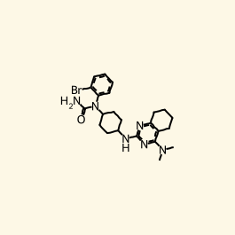 CN(C)c1nc(NC2CCC(N(C(N)=O)c3ccccc3Br)CC2)nc2c1CCCC2